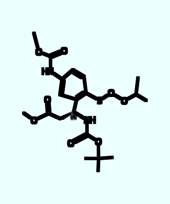 COC(=O)C[C@@H](NC(=O)OC(C)(C)C)c1cc(NC(=O)OC)ccc1SOOC(C)C